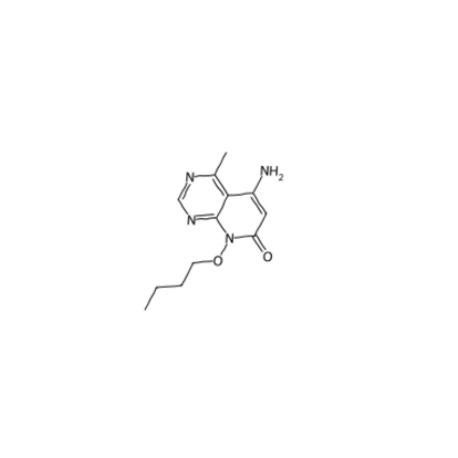 CCCCOn1c(=O)cc(N)c2c(C)ncnc21